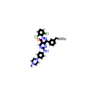 CNCc1cccc(-c2nn(-c3c(Cl)cccc3Cl)c(=O)c3cnc(Nc4ccc(N5CCN(C)CC5)cc4)nc23)c1